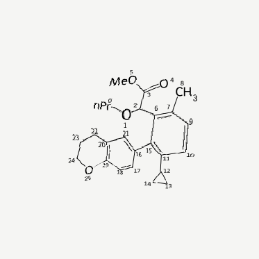 CCCOC(C(=O)OC)c1c(C)ccc(C2CC2)c1-c1ccc2c(c1)CCCO2